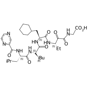 CC[C@H](NC(=O)[C@H](CC1CCCCC1)NC(=O)[C@@H](NC(=O)[C@H](CC(C)C)NC(=O)c1cnccn1)[C@H](C)CC)C(=O)C(=O)NCC(=O)O